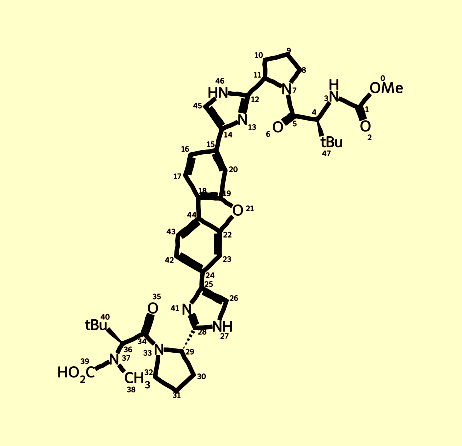 COC(=O)N[C@H](C(=O)N1CCCC1c1nc(-c2ccc3c(c2)oc2cc(-c4c[nH]c([C@@H]5CCCN5C(=O)[C@@H](N(C)C(=O)O)C(C)(C)C)n4)ccc23)c[nH]1)C(C)(C)C